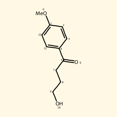 COc1ccc(C(=O)CCCO)cc1